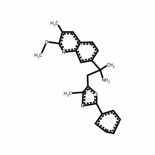 COc1nc2cc(C(C)(N)Cc3sc(-c4ccccc4)nc3C)ccc2cc1C